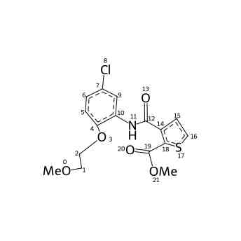 COCCOc1ccc(Cl)cc1NC(=O)c1ccsc1C(=O)OC